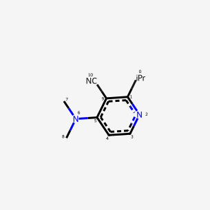 CC(C)c1nccc(N(C)C)c1C#N